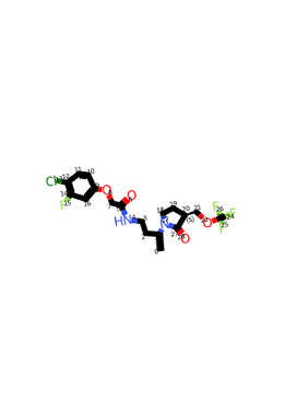 C=C(CCNC(=O)COc1ccc(Cl)c(F)c1)N1CC[C@@H](COC(F)(F)F)C1=O